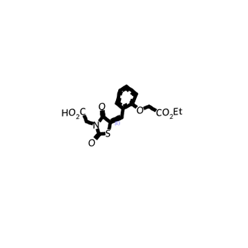 CCOC(=O)COc1ccccc1/C=C1/SC(=O)N(CC(=O)O)C1=O